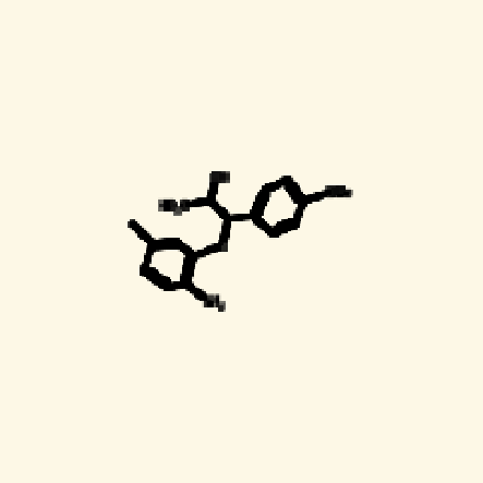 COc1ccc(C(Sc2cc(C)ccc2N)C(O)C(=O)O)cc1